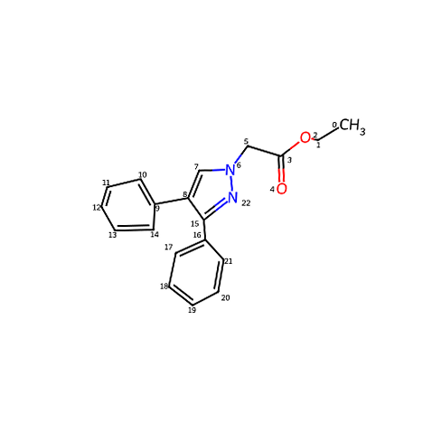 CCOC(=O)Cn1cc(-c2ccccc2)c(-c2ccccc2)n1